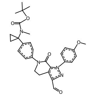 COc1ccc(-n2nc(C=O)c3c2C(=O)N(c2ccc(C4(N(C)C(=O)OC(C)(C)C)CC4)cc2)CC3)cc1